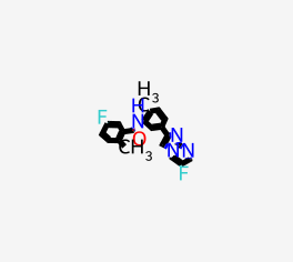 Cc1ccc(-c2cn3cc(F)cnc3n2)cc1NC(=O)c1cc(F)ccc1C